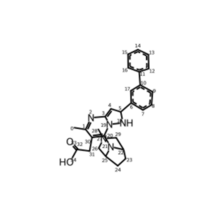 CC1=NC2=CC(c3cccc(-c4ccccc4)c3)NN2C(N2C3CCC2CN(C)C3)=C1CC(=O)O